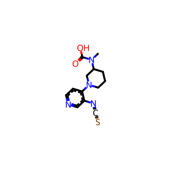 CN(C(=O)O)C1CCCN(c2ccncc2N=C=S)C1